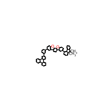 CC1(C)c2ccccc2-c2c(-c3ccc4oc5c(ccc6c7cc(-c8cccc(-c9ccc%10c%11ccccc%11c%11ccccc%11c%10c9)c8)ccc7oc65)c4c3)cccc21